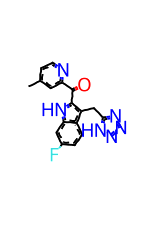 Cc1ccnc(C(=O)c2[nH]c3cc(F)ccc3c2Cc2nnn[nH]2)c1